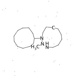 CN1NCCCCCCCCN1C1CCCCCCCCCC1